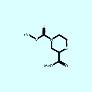 COC(=O)C1CN(C(=O)OC(C)(C)C)CCS1